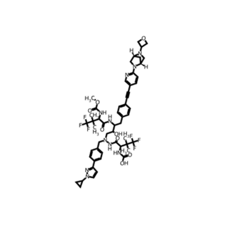 COC(=O)NC(C(=O)NC(Cc1ccc(C#Cc2ccc(N3C[C@H]4C[C@@H]3CN4C3COC3)nc2)cc1)C(O)CN(Cc1ccc(-c2ccn(C3CC3)n2)cc1)NC(=O)C(NC(=O)O)C(C)(C)C(F)(F)F)C(C)(C)C(F)(F)F